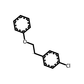 Clc1ccc([CH]COc2ccccc2)cc1